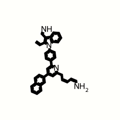 C=Cc1c(C=N)c2ccccc2n1-c1ccc(-c2cc(-c3ccc4ccccc4c3)cc(C/C=C\C=C/N)n2)cc1